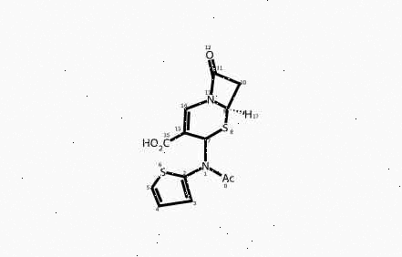 CC(=O)N(c1cccs1)C1S[C@@H]2CC(=O)N2C=C1C(=O)O